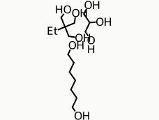 CCC(CO)(CO)CO.OCC(O)CO.OCCCCCCCO